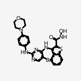 O=C(NO)c1sc2ccccc2c1Nc1nc(Nc2ccc(N3CCOCC3)cc2)ncc1Br